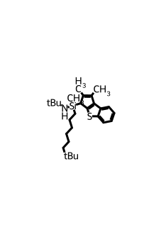 CC1=C(C)C([Si](C)(CCCCCCC(C)(C)C)NC(C)(C)C)c2sc3ccccc3c21